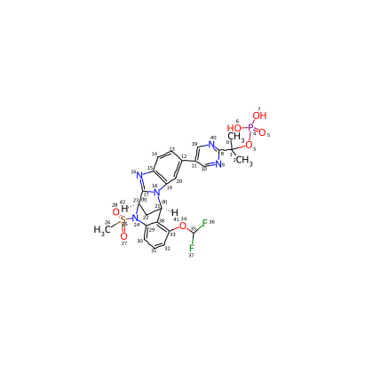 CC(C)(OP(=O)(O)O)c1ncc(-c2ccc3nc4n(c3c2)[C@@H]2C[C@H]4N(S(C)(=O)=O)c3cccc(OC(F)F)c32)cn1